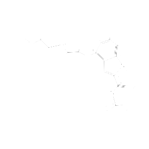 COCCOCCOc1cccc2[nH]c(C(=O)NC(C)C)cc12